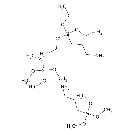 C=C[Si](OC)(OC)OC.CCO[Si](CCCN)(OCC)OCC.CO[Si](CCCN)(OC)OC